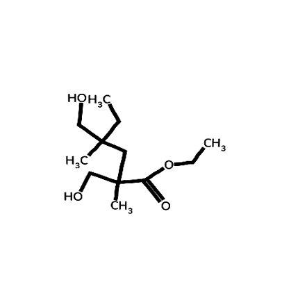 CCOC(=O)C(C)(CO)CC(C)(CC)CO